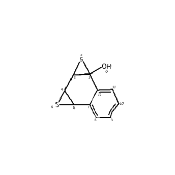 OC12SC1C1SC1c1ccccc12